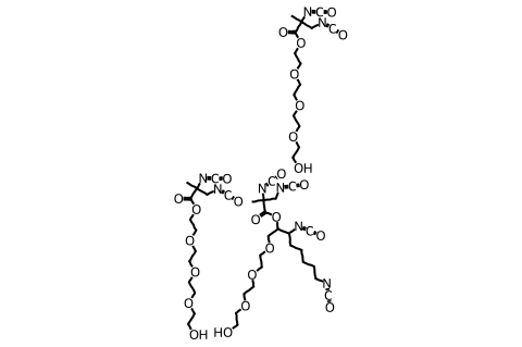 CC(CN=C=O)(N=C=O)C(=O)OC(COCCOCCOCCO)C(CCCCCN=C=O)N=C=O.CC(CN=C=O)(N=C=O)C(=O)OCCOCCOCCOCCO.CC(CN=C=O)(N=C=O)C(=O)OCCOCCOCCOCCO